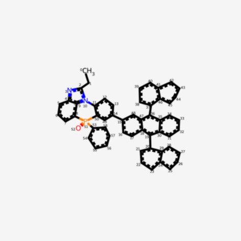 CCc1nc2cccc3c2n1-c1ccc(-c2ccc4c(-c5cccc6ccccc56)c5ccccc5c(-c5cccc6ccccc56)c4c2)cc1P3(=O)c1ccccc1